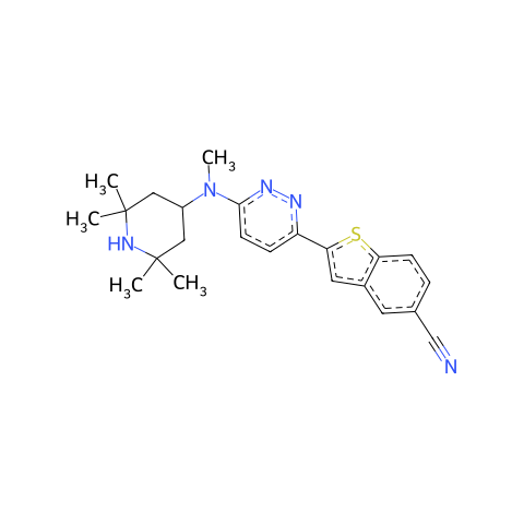 CN(c1ccc(-c2cc3cc(C#N)ccc3s2)nn1)C1CC(C)(C)NC(C)(C)C1